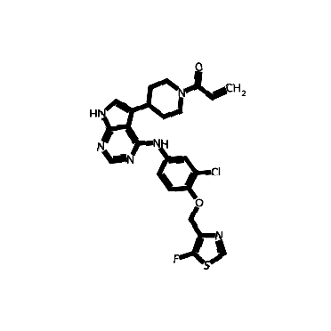 C=CC(=O)N1CCC(c2c[nH]c3ncnc(Nc4ccc(OCc5ncsc5F)c(Cl)c4)c23)CC1